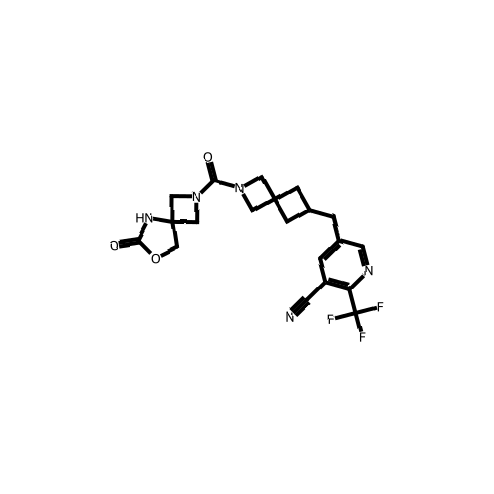 N#Cc1cc(CC2CC3(C2)CN(C(=O)N2CC4(COC(=O)N4)C2)C3)cnc1C(F)(F)F